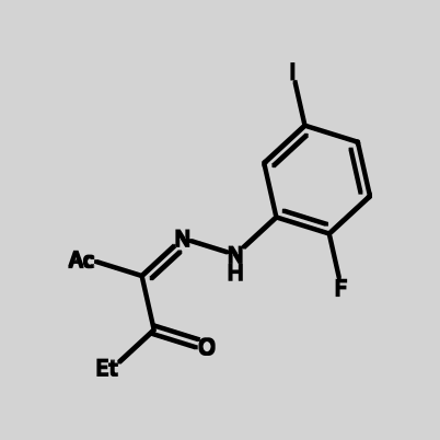 CCC(=O)/C(=N\Nc1cc(I)ccc1F)C(C)=O